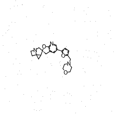 c1nc2c(cc1-c1ccc(CN3CCOCC3)o1)C[C@@]1(CN3CCC34CC41)O2